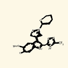 COc1cc2c(-c3cnn(C4CCCCO4)c3)c(-c3nnc(C(F)(F)F)[nH]3)[nH]c2cc1Cl